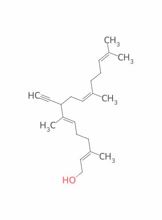 C#CC(CC=C(C)CCC=C(C)C)C(C)=CCCC(C)=CCO